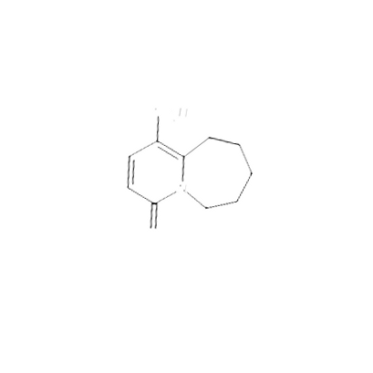 O=C(O)c1ccc(=O)n2c1CCCCC2